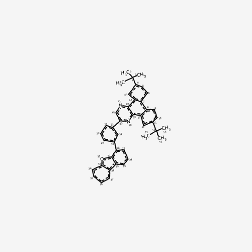 CC(C)(C)c1ccc2c3ccc(C(C)(C)C)cc3c3nc(-c4cccc(-c5cccc6c5oc5ccccc56)c4)cnc3c2c1